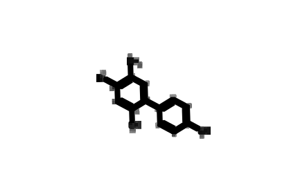 Nc1cc(-c2ccc(O)cc2)c(O)cc1Br